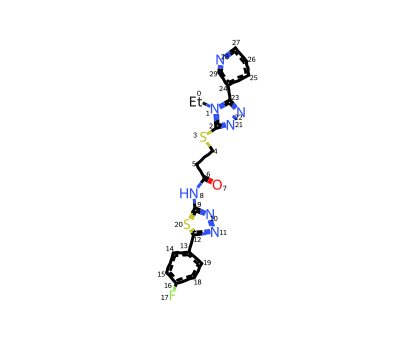 CCn1c(SCCC(=O)Nc2nnc(-c3ccc(F)cc3)s2)nnc1-c1cccnc1